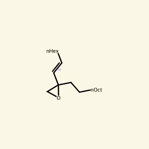 CCCCCC/C=C/C1(CCCCCCCCCC)CO1